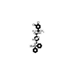 CC(C)(NC(=O)[C@@H]1CN[C@H](CO[Si](c2ccccc2)(c2ccccc2)C(C)(C)C)CO1)c1ccc(Cl)c(Cl)c1